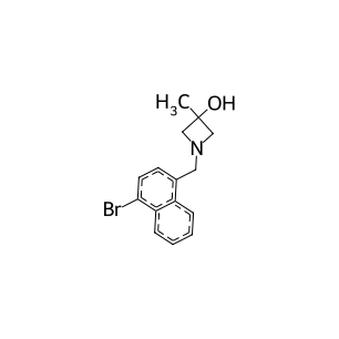 CC1(O)CN(Cc2ccc(Br)c3ccccc23)C1